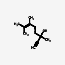 C#CC(C)(O)CCC(C)=C(C)C